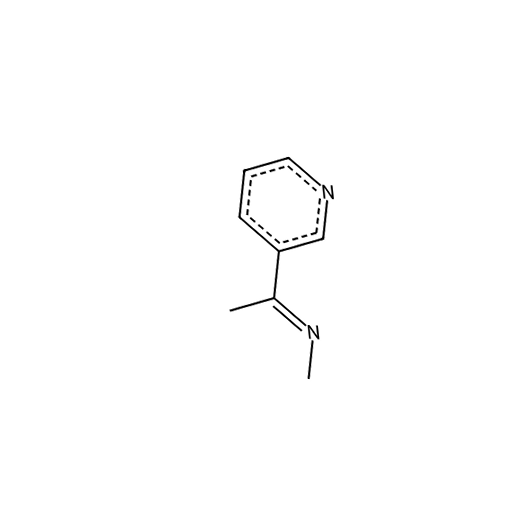 CN=C(C)c1cccnc1